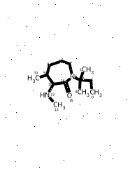 CCC(C)(C)N1CCCC(C)C(NC)C1=O